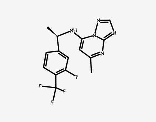 Cc1cc(N[C@H](C)c2ccc(C(F)(F)F)c(F)c2)n2ncnc2n1